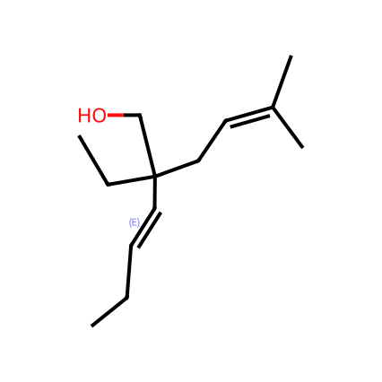 CC/C=C/C(CC)(CO)CC=C(C)C